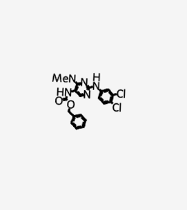 CNc1nc(Nc2ccc(Cl)c(Cl)c2)ncc1NC(=O)OCc1ccccc1